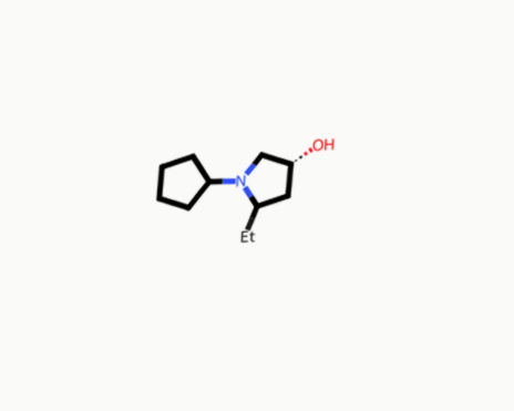 CCC1C[C@@H](O)CN1C1CCCC1